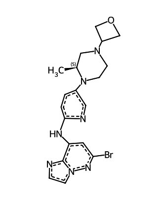 C[C@H]1CN(C2COC2)CCN1c1ccc(Nc2cc(Br)nn3ccnc23)nc1